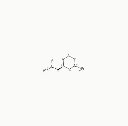 CC(C)N(C)C[C@H]1CCCN(C(C)C)C1